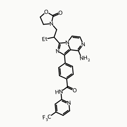 CCC(CN1CCOC1=O)c1nc(-c2ccc(C(=O)Nc3cc(C(F)(F)F)ccn3)cc2)c2c(N)nccn12